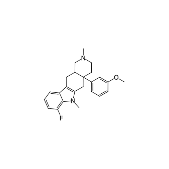 COc1cccc(C23CCN(C)CC2Cc2c(n(C)c4c(F)cccc24)C3)c1